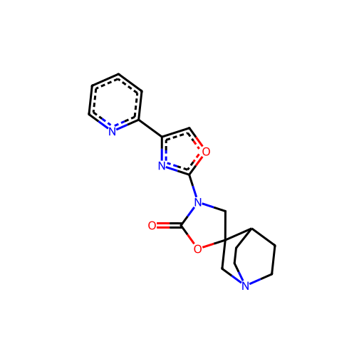 O=C1OC2(CN3CCC2CC3)CN1c1nc(-c2ccccn2)co1